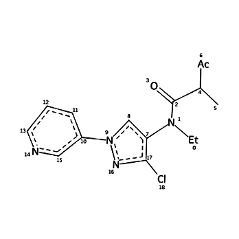 CCN(C(=O)C(C)C(C)=O)c1cn(-c2cccnc2)nc1Cl